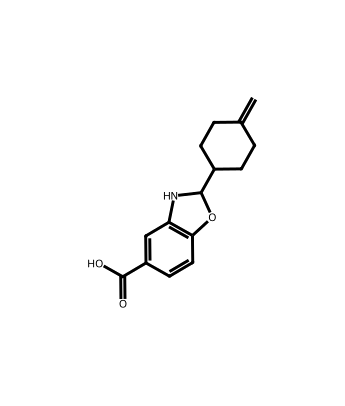 C=C1CCC(C2Nc3cc(C(=O)O)ccc3O2)CC1